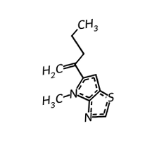 C=C(CCC)c1cc2scnc2n1C